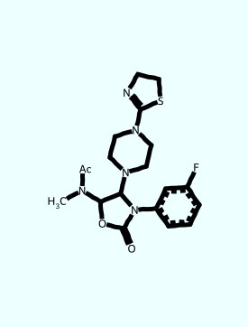 CC(=O)N(C)C1OC(=O)N(c2cccc(F)c2)C1N1CCN(C2=NCCS2)CC1